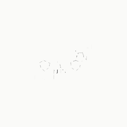 Cc1ccccc1NC(=O)Nc1ccc2[nH]c(S)nc2c1